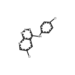 Clc1ccc(Nc2nnnc3ncc(Cl)cc23)cc1